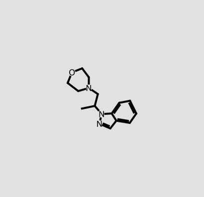 CC(CN1CCOCC1)n1ncc2ccccc21